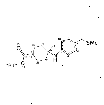 CSCc1ccc(NC2(C)CCN(C(=O)OC(C)(C)C)CC2)cc1